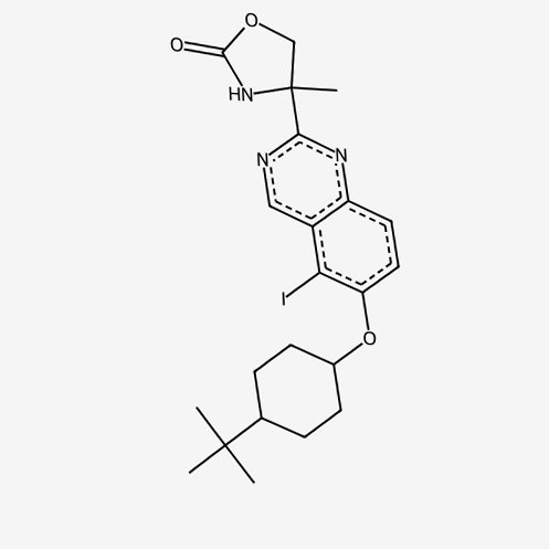 CC1(c2ncc3c(I)c(OC4CCC(C(C)(C)C)CC4)ccc3n2)COC(=O)N1